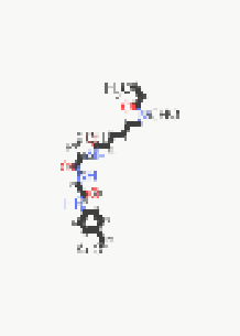 C/C=C\C(=O)N(C=O)CCCCCC(=O)N[C@@H](CC(=O)O)C(=O)NCC(=O)Nc1ccc(COC(C)=O)cc1